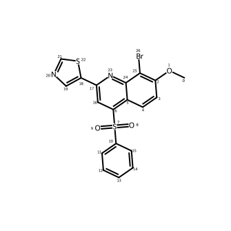 COc1ccc2c(S(=O)(=O)c3ccccc3)cc(-c3cncs3)nc2c1Br